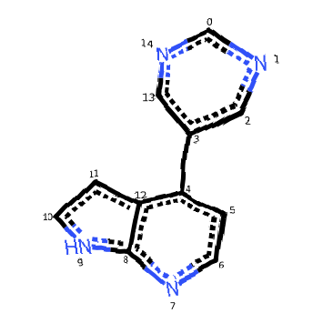 c1ncc(-c2ccnc3[nH]ccc23)cn1